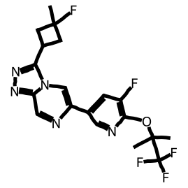 CC1(F)CC(c2nnc3cnc(-c4cnc(OC(C)(C)C(F)(F)F)c(F)c4)cn23)C1